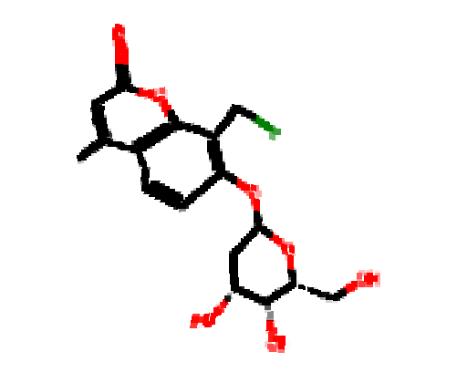 Cc1cc(=O)oc2c(CF)c(OC3C[C@@H](O)[C@@H](O)[C@@H](CO)O3)ccc12